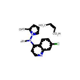 CCCN(c1ccnc2cc(Cl)ccc12)n1cccc1C=O.O=C(O)/C=C\C(=O)O